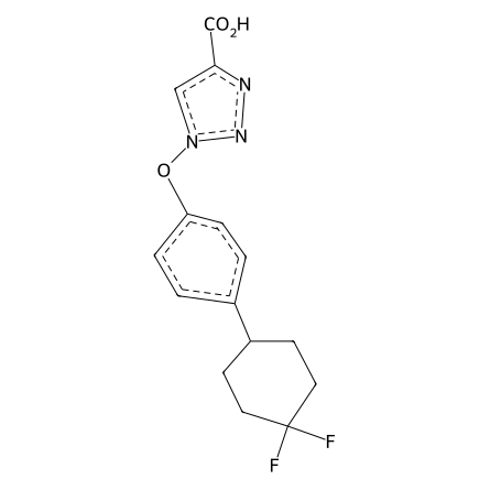 O=C(O)c1cn(Oc2ccc(C3CCC(F)(F)CC3)cc2)nn1